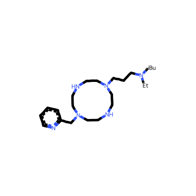 CCC(C)N(CC)CCCN1CCNCCN(Cc2ccccn2)CCNCC1